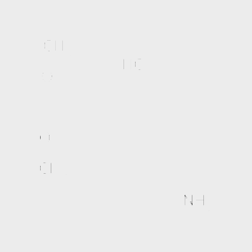 COc1cc2c(cc1OC)[C@@H](CCN)C2.Cl